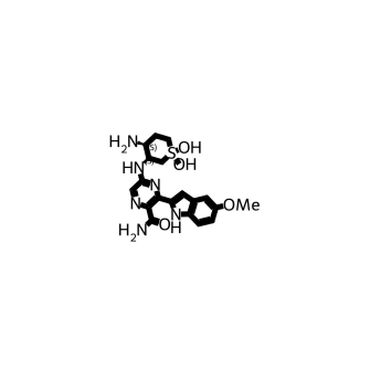 COc1ccc2[nH]c(-c3nc(N[C@@H]4CS(O)(O)CC[C@@H]4N)cnc3C(N)=O)cc2c1